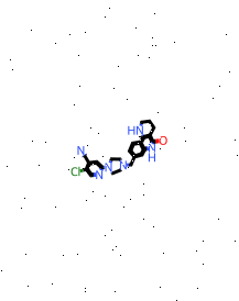 N#Cc1cc(N2CCN(Cc3ccc4c5c(c(=O)[nH]c4c3)CCCN5)CC2)ncc1Cl